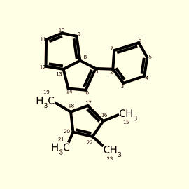 C1=C(c2ccccc2)c2ccccc2C1.CC1=CC(C)C(C)=C1C